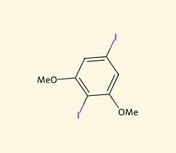 COc1cc(I)cc(OC)c1I